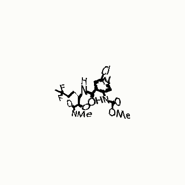 CNC(=O)C(=O)[C@H](CCC(C)(F)F)NC(=O)c1cc(Cl)ncc1NC(=O)OC